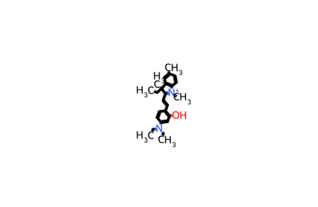 CCN(CC)c1ccc(/C=C/C2=[N+](C)c3ccc(C)cc3C2(C)CC)c(O)c1